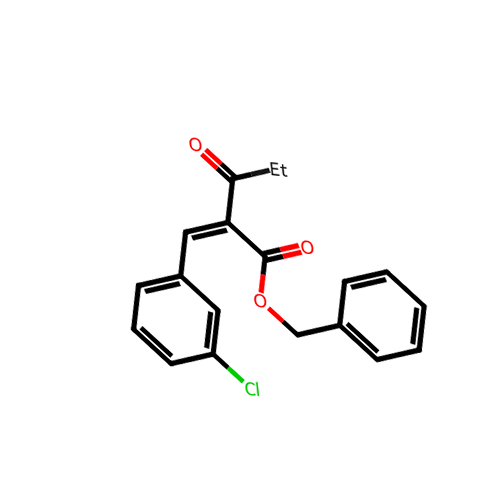 CCC(=O)C(=Cc1cccc(Cl)c1)C(=O)OCc1ccccc1